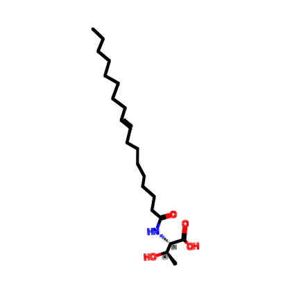 CCCCCCCCC=CCCCCCCCC(=O)N[C@H](C(=O)O)[C@@H](C)O